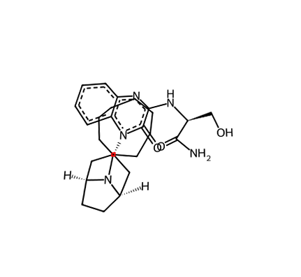 NC(=O)[C@H](CO)Nc1nc2ccccc2n([C@@H]2C[C@H]3CC[C@@H](C2)N3C2CCCCCCC2)c1=O